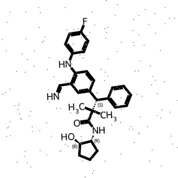 CC(C)(C(=O)N[C@@H]1CCC[C@H]1O)[C@@H](c1ccccc1)c1ccc(Nc2ccc(F)cc2)c(C=N)c1